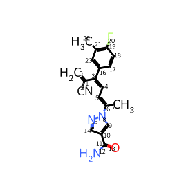 C=C(C#N)/C(=C\C=C(/C)n1cc(C(N)=O)cn1)c1ccc(F)c(C)c1